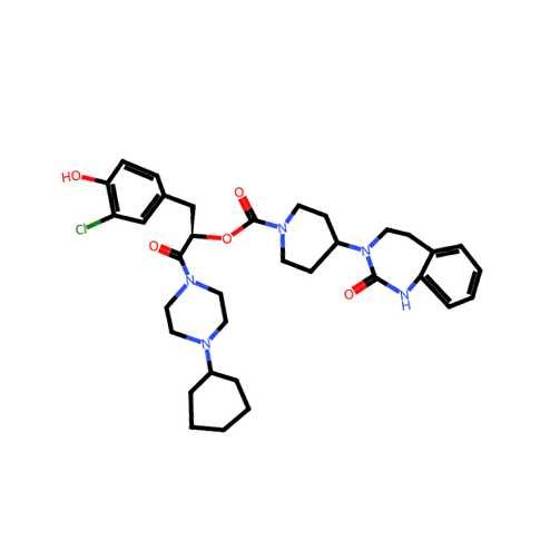 O=C(O[C@H](Cc1ccc(O)c(Cl)c1)C(=O)N1CCN(C2CCCCC2)CC1)N1CCC(N2CCc3ccccc3NC2=O)CC1